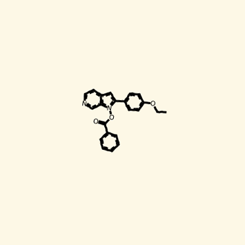 CCOc1ccc(-c2cc3ccncc3n2OC(=O)c2ccccc2)cc1